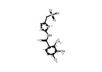 CCS(=O)(=O)Cc1csc(NC(=O)c2ccc(Cl)c(O)c2C)n1